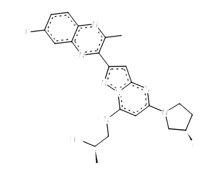 Cc1nc2ccc(F)cc2nc1-c1cc2nc(N3CC[C@@H](F)C3)cc(NC[C@@H](C)O)n2n1